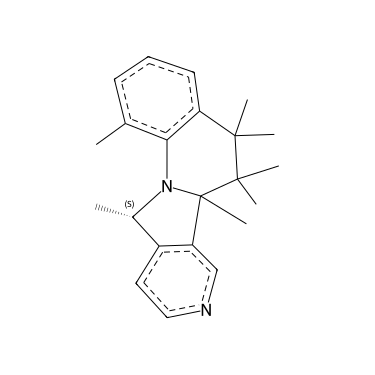 Cc1cccc2c1N1[C@@H](C)c3ccncc3C1(C)C(C)(C)C2(C)C